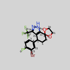 Fc1ccc(C2CCC3(OCCO3)c3[nH]nc(C(F)(F)F)c32)cc1Br